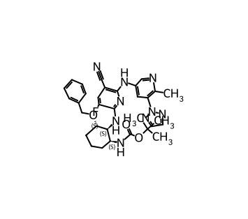 Cc1ncc(Nc2nc(N[C@H]3[C@@H](NC(=O)OC(C)(C)C)CCC[C@@H]3OCc3ccccc3)c(F)cc2C#N)cc1-n1nccn1